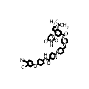 CC(C)n1ccc2c(N3CCC(=O)NC3=O)cc(C(=O)N3CCN(CC4CCN(c5ccc(C(=O)NC6CCC(Oc7ccc(C#N)c(Cl)c7)CC6)cn5)CC4)CC3)cc21